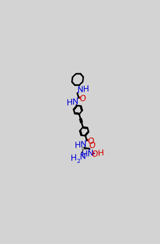 NC[C@H](NC(=O)c1ccc(C#Cc2ccc(NC(=O)CNC3CCCCCCC3)cc2)cc1)C(=O)NO